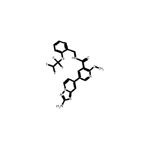 COc1ncc(-c2ccn3nc(N)nc3c2)cc1C(=O)NCc1ccccc1OC(F)(F)C(F)F